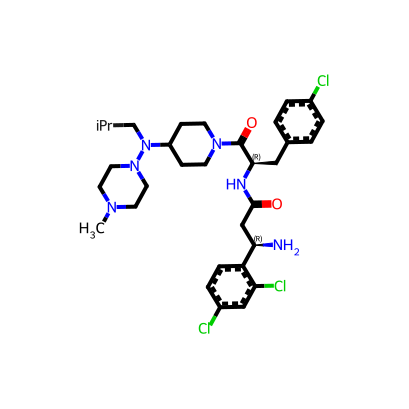 CC(C)CN(C1CCN(C(=O)[C@@H](Cc2ccc(Cl)cc2)NC(=O)C[C@@H](N)c2ccc(Cl)cc2Cl)CC1)N1CCN(C)CC1